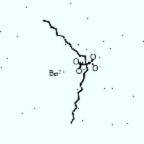 CCCCCCCCCCCCC(CCCCCCCCCCCC)(C(=O)[O-])C(=O)[O-].[Ba+2]